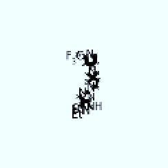 CCOc1n[nH]c2nc(N3CCC4(CN(c5ccnc(C(F)(F)F)c5)C4)C3)ncc12